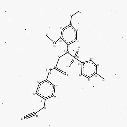 CCc1ccc(N(CC(=O)Nc2ccc(CC#N)cc2)S(=O)(=O)c2ccc(C)cc2)c(OC)c1